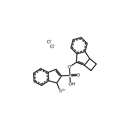 O=P(O)(OC1=C2CCC2c2ccccc21)C1=Cc2ccccc2[CH]1[Ti+2].[Cl-].[Cl-]